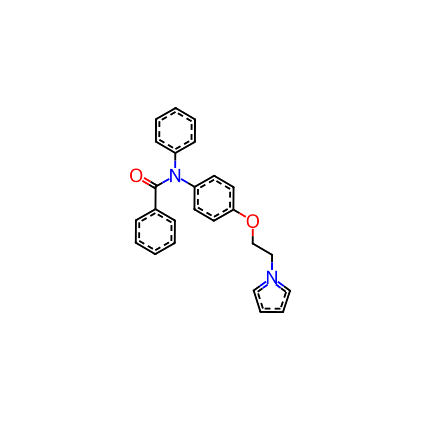 O=C(c1ccccc1)N(c1ccccc1)c1ccc(OCCn2cccc2)cc1